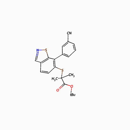 CC(C)(C)OC(=O)C(C)(C)Sc1ccc2cnsc2c1-c1cccc(C#N)c1